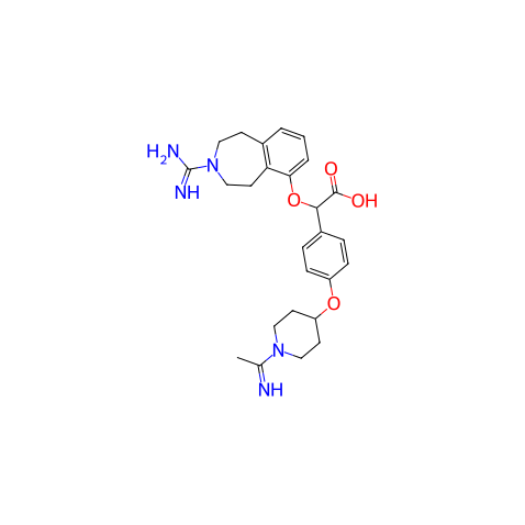 CC(=N)N1CCC(Oc2ccc(C(Oc3cccc4c3CCN(C(=N)N)CC4)C(=O)O)cc2)CC1